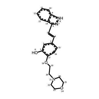 Oc1cc(C=Cc2n[nH]c3ccccc23)ccc1OCCN1CCOCC1